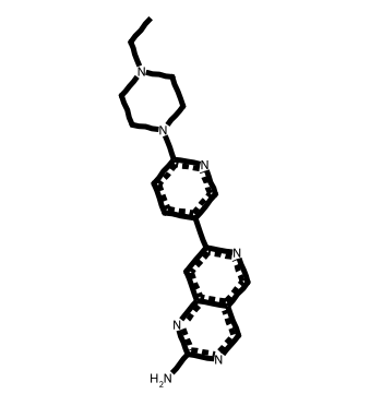 CCN1CCN(c2ccc(-c3cc4nc(N)ncc4cn3)cn2)CC1